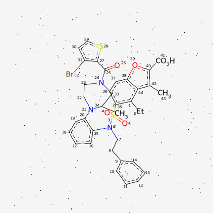 CCc1c(S(=O)(=O)N(CCc2ccccc2)c2ccccc2N2CCN(C(=O)c3sccc3Br)CC2C)ccc2oc(C(=O)O)c(C)c12